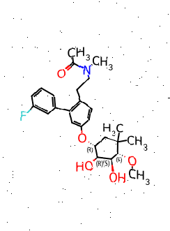 CO[C@@H]1[C@@H](O)[C@@H](O)[C@H](Oc2ccc(CCN(C)C(C)=O)c(-c3cccc(F)c3)c2)CC1(C)C